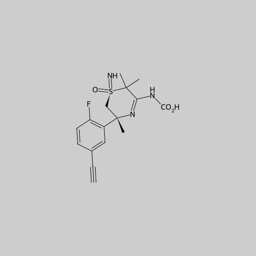 C#Cc1ccc(F)c([C@]2(C)C[S@](=N)(=O)C(C)(C)C(NC(=O)O)=N2)c1